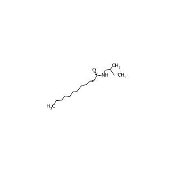 CCCCCCCCC/C=C/C(=O)NCC(C)CC